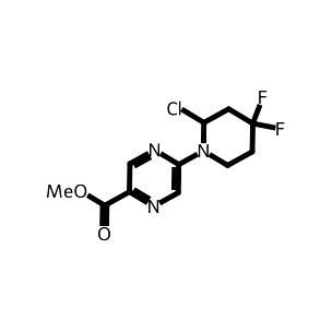 COC(=O)c1cnc(N2CCC(F)(F)CC2Cl)cn1